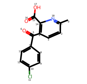 Cc1ccc(C(=O)c2ccc(Cl)cc2)c(C(=O)O)n1